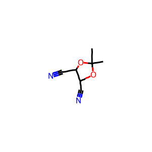 CC1(C)OC(C#N)C(C#N)O1